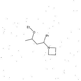 CCOC(C)CC(C(C)C)N1CCC1